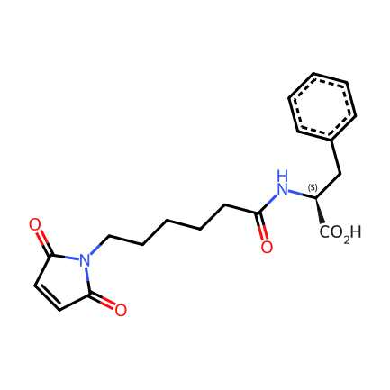 O=C(CCCCCN1C(=O)C=CC1=O)N[C@@H](Cc1ccccc1)C(=O)O